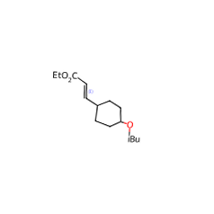 CCOC(=O)/C=C/C1CCC(OC(C)CC)CC1